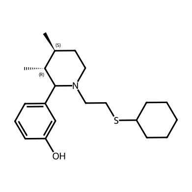 C[C@H]1CCN(CCSC2CCCCC2)C(c2cccc(O)c2)[C@@H]1C